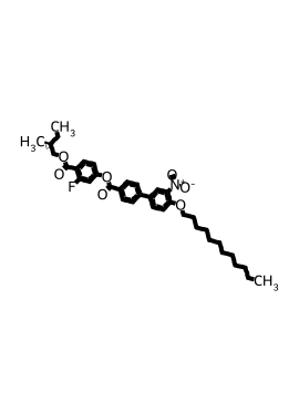 CCCCCCCCCCCCOc1ccc(-c2ccc(C(=O)Oc3ccc(C(=O)OC[C@@H](C)CC)c(F)c3)cc2)cc1[N+](=O)[O-]